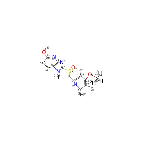 [2H]c1nc(C[S+]([O-])c2nc3nc(OC)ccc3n2[2H])c(C)c(OC([2H])([2H])[2H])c1C